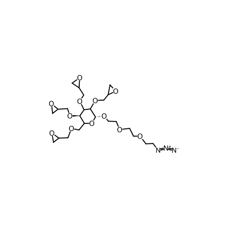 [N-]=[N+]=NCCOCCOCCO[C@@H]1OC(COCC2CO2)[C@@H](OCC2CO2)C(OCC2CO2)C1OCC1CO1